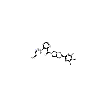 Cc1nc(N2CC3CN(C(=O)c4ncccc4N/N=C\C=N)CC3C2)nc(C)c1F